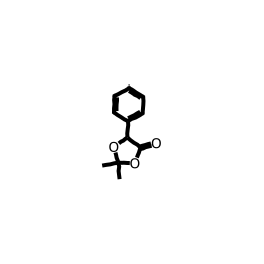 CC1(C)OC(=O)C(c2cc[c]cc2)O1